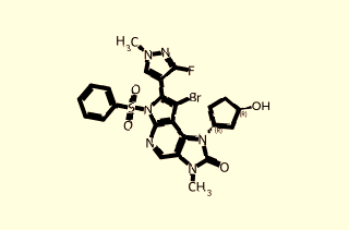 Cn1cc(-c2c(Br)c3c(ncc4c3n([C@@H]3CC[C@@H](O)C3)c(=O)n4C)n2S(=O)(=O)c2ccccc2)c(F)n1